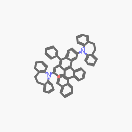 C1=CC2=C(CC1)CCc1ccccc1N2c1ccc2c(-c3ccccc3-c3cccc4ccccc34)c3cc(N4c5ccccc5CCc5ccccc54)ccc3c(-c3ccccc3)c2c1